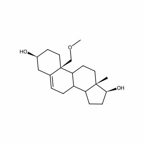 COC[C@]12CC[C@H](O)CC1=CCC1C2CC[C@@]2(C)C1CC[C@@H]2O